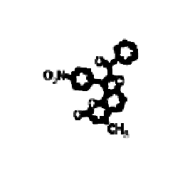 Cc1cc(=O)oc2c1ccc1oc(C(=O)c3ccccc3)c(-c3ccc([N+](=O)[O-])cc3)c12